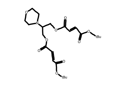 CC(C)(C)OC(=O)/C=C/C(=O)OCC(COC(=O)/C=C/C(=O)OC(C)(C)C)N1CCOCC1